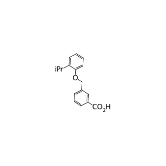 CC(C)c1ccccc1OCc1cccc(C(=O)O)c1